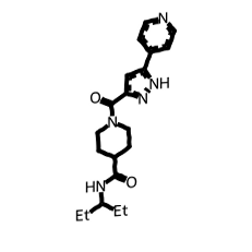 CCC(CC)NC(=O)C1CCN(C(=O)c2cc(-c3ccncc3)[nH]n2)CC1